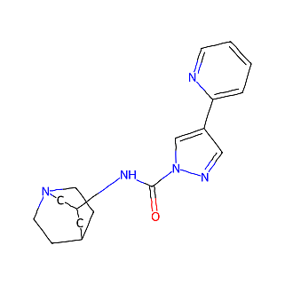 O=C(NC1CC2CCN(CC2)C1)n1cc(-c2ccccn2)cn1